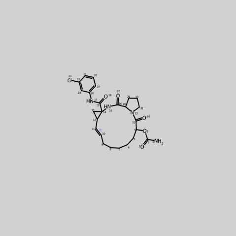 NC(=O)OC1CCCCC/C=C/C2CC2(C(=O)Nc2cccc(Cl)c2)NC(=O)C2CCCN2C1=O